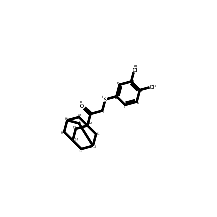 O=C(CSc1ccc(Cl)c(Cl)c1)C12CC3CC(CC(C3)C1)C2